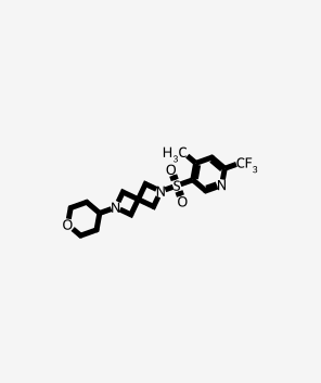 Cc1cc(C(F)(F)F)ncc1S(=O)(=O)N1CC2(CN(C3CCOCC3)C2)C1